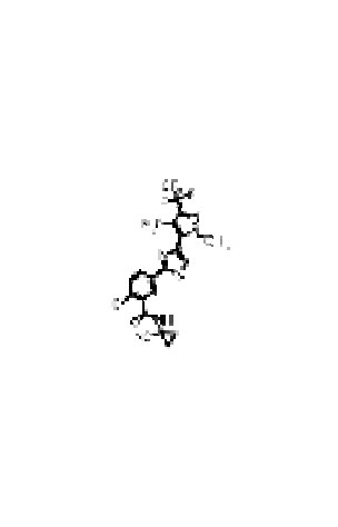 Cn1nc(C(F)(F)C(F)(F)F)c(C(F)(F)F)c1-c1csc(-c2ccc(Cl)c(C(=O)NC3(C#N)CC3)c2)n1